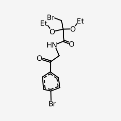 CCOC(CBr)(OCC)C(=O)NCC(=O)c1ccc(Br)cc1